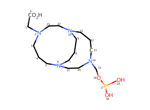 O=C(O)CN1CCCN2CCCN(CCCN(COP(O)O)CC2)CC1